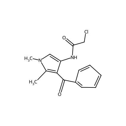 Cc1c(C(=O)c2ccccc2)c(NC(=O)CCl)cn1C